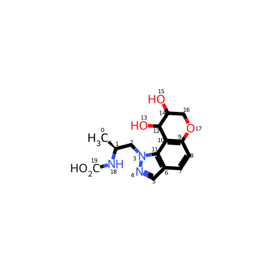 C[C@@H](Cn1ncc2ccc3c(c21)C(O)C(O)CO3)NC(=O)O